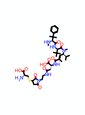 CN[C@H](C(=O)NC(C(=O)N(C)[C@H](/C=C(\C)C(=O)N[C@H](CC(=O)NCCN1C(=O)CC(SC[C@H](N)C(=O)O)C1=O)C(=O)O)C(C)C)C(C)(C)C)C(C)(C)c1ccccc1